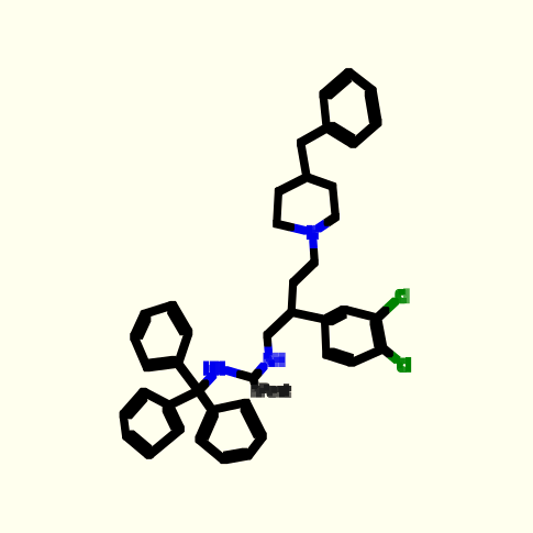 CCCCCC(NCC(CCN1CCC(Cc2ccccc2)CC1)c1ccc(Cl)c(Cl)c1)NC(c1ccccc1)(c1ccccc1)c1ccccc1